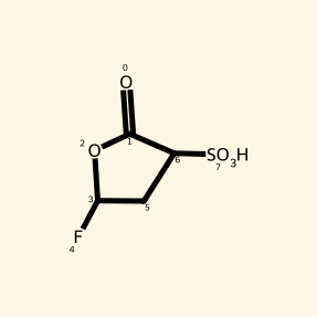 O=C1OC(F)CC1S(=O)(=O)O